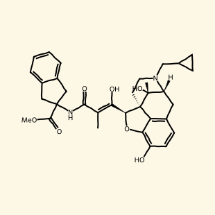 COC(=O)C1(NC(=O)/C(C)=C(\O)[C@@H]2Oc3c(O)ccc4c3[C@@]23CCN(CC2CC2)[C@H](C4)[C@@]3(C)O)Cc2ccccc2C1